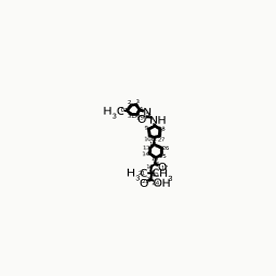 Cc1ccc2nc(Nc3ccc(-c4ccc(C(=O)CC(C)(C)C(=O)O)cc4)cc3)oc2c1